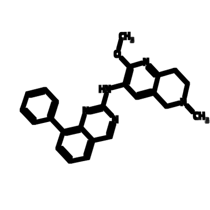 COc1nc2c(cc1Nc1ncc3cccc(-c4ccccc4)c3n1)CN(C)CC2